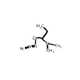 CC[CH]([Ga][N]=[N+]=[N-])N(C)C